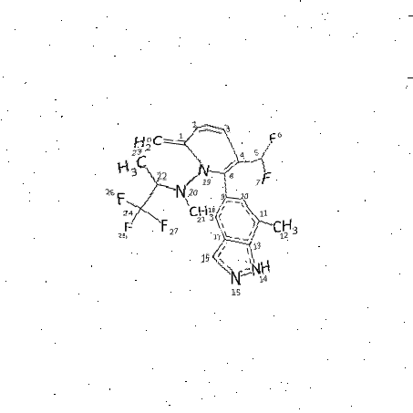 C=C1C=CC(C(F)F)=C(c2cc(C)c3[nH]ncc3c2)N1N(C)C(C)C(F)(F)F